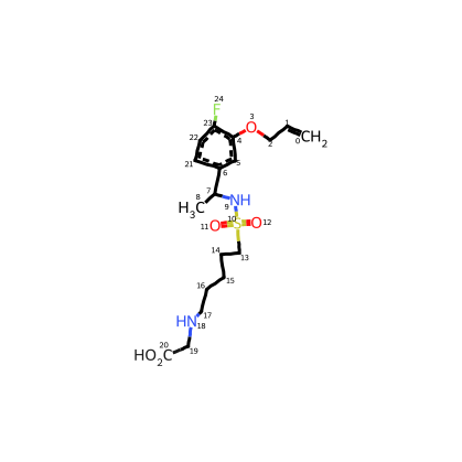 C=CCOc1cc(C(C)NS(=O)(=O)CCCCCNCC(=O)O)ccc1F